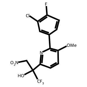 COc1ccc(C(O)(C[N+](=O)[O-])C(F)(F)F)nc1-c1ccc(F)c(Cl)c1